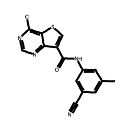 Cc1cc(C#N)cc(NC(=O)c2csc3c(Cl)ncnc23)c1